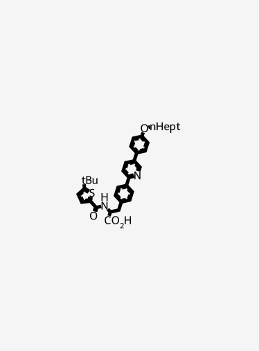 CCCCCCCOc1ccc(-c2ccc(-c3ccc(CC(NC(=O)c4ccc(C(C)(C)C)s4)C(=O)O)cc3)nc2)cc1